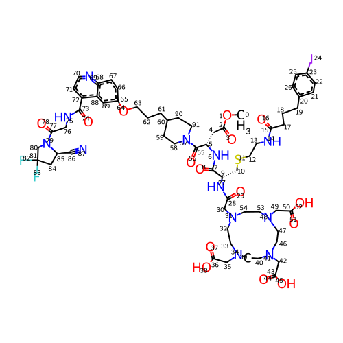 COC(=O)C[C@H](NC(=O)[C@H](CSCCNC(=O)CCCc1ccc(I)cc1)NC(=O)CN1CCN(CC(=O)O)CCN(CC(=O)O)CCN(CC(=O)O)CC1)C(=O)N1CCC(CCCOc2ccc3nccc(C(=O)NCC(=O)N4CC(F)(F)C[C@@H]4C#N)c3c2)CC1